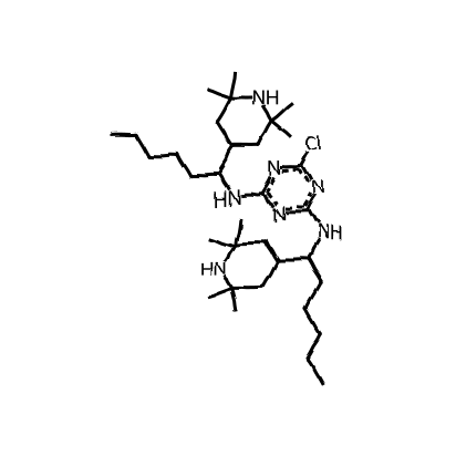 CCCCCC(Nc1nc(Cl)nc(NC(CCCCC)C2CC(C)(C)NC(C)(C)C2)n1)C1CC(C)(C)NC(C)(C)C1